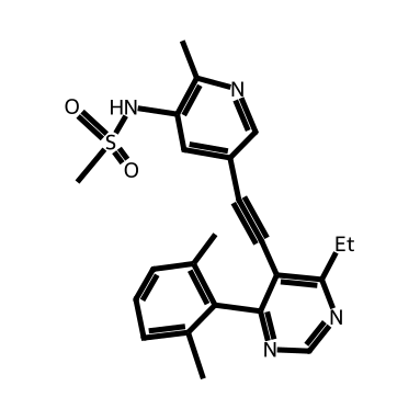 CCc1ncnc(-c2c(C)cccc2C)c1C#Cc1cnc(C)c(NS(C)(=O)=O)c1